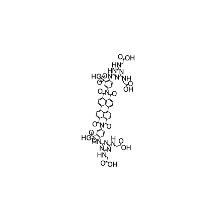 O=C(O)CNc1nc(NCC(=O)O)nc(Nc2ccc(N3C(=O)c4ccc5c6ccc7c8c(ccc(c9ccc(c4c59)C3=O)c86)C(=O)N(c3ccc(Nc4nc(NCC(=O)O)nc(NCC(=O)O)n4)c(S(=O)(=O)O)c3)C7=O)cc2S(=O)(=O)O)n1